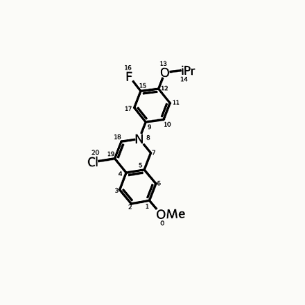 COc1ccc2c(c1)CN(c1ccc(OC(C)C)c(F)c1)C=C2Cl